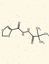 CC(C)(C)C(=O)NNC(=O)C1=COCO1